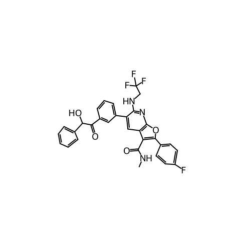 CNC(=O)c1c(-c2ccc(F)cc2)oc2nc(NCC(F)(F)F)c(-c3cccc(C(=O)C(O)c4ccccc4)c3)cc12